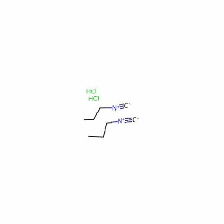 Cl.Cl.[C-]#[N+]CCC.[C-]#[N+]CCC